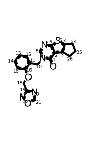 O=c1c2c3c(sc2ncn1Cc1ccccc1OCc1ncon1)CCC3